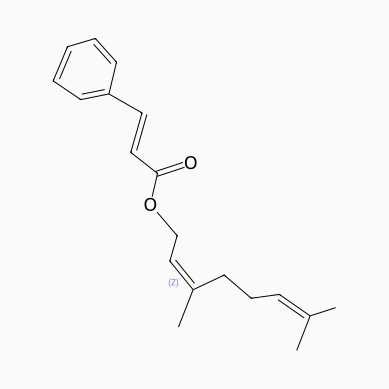 CC(C)=CCC/C(C)=C\COC(=O)C=Cc1ccccc1